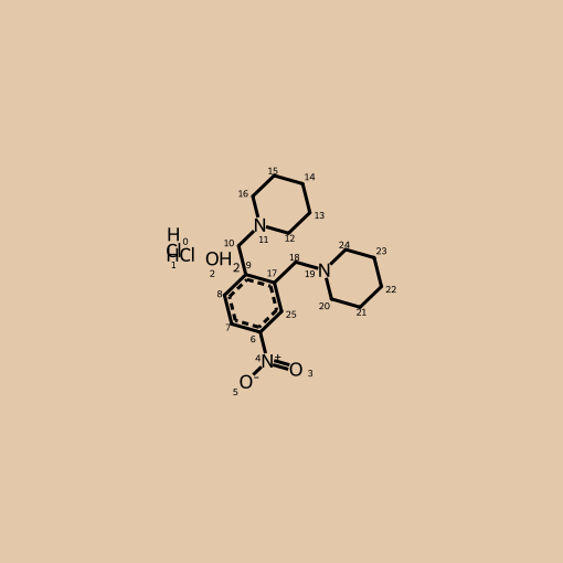 Cl.Cl.O.O=[N+]([O-])c1ccc(CN2CCCCC2)c(CN2CCCCC2)c1